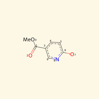 COC(=O)c1ccc([O])nc1